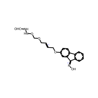 O=CNNOCOC/C=C/COc1ccc2c(c1)/C(=N/O)c1ccccc1-2